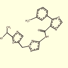 Cc1cccc(-c2ocnc2C(=O)Nc2cnn(Cc3cnc(C(C)O)o3)n2)c1